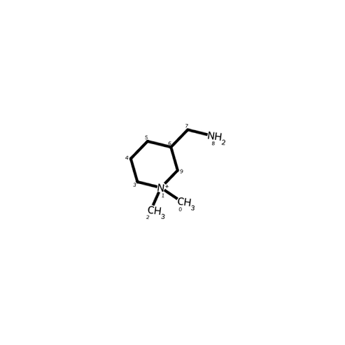 C[N+]1(C)CCCC(CN)C1